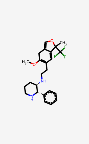 COC1=C(CCN[C@H]2CCCN[C@H]2c2ccccc2)C=C2C(=COC2(C)C(F)(F)F)C1